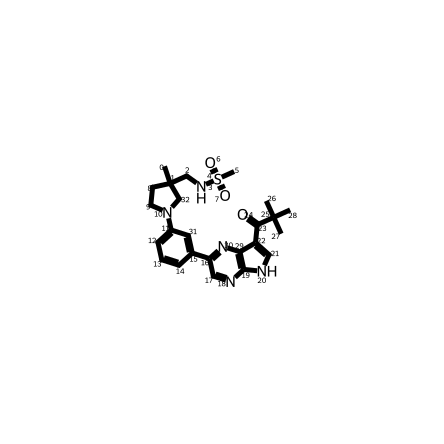 CC1(CNS(C)(=O)=O)CCN(c2cccc(-c3cnc4[nH]cc(C(=O)C(C)(C)C)c4n3)c2)C1